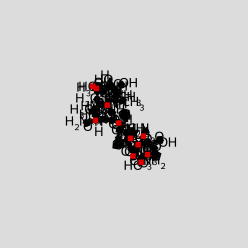 CC[C@H](C)[C@H](NC(=O)[C@H](CCCCN)NC(=O)[C@H](CCC(=O)O)NC(=O)[C@@H]1CCCN1C(=O)[C@@H](N)CCC(=O)O)C(=O)N[C@@H](CO)C(=O)N[C@H](C(=O)N[C@@H](Cc1ccccc1)C(=O)N[C@@H](Cc1ccccc1)C(=O)N[C@@H](CC(N)=O)C(=O)NCC(=O)N[C@@H](CCC(N)=O)C(=O)N[C@@H](C)C(=O)N[C@H](C(=O)N[C@@H](CS)C(=O)N[C@@H](CC(C)C)C(=O)N[C@@H](CC(=O)O)C(=O)N[C@@H](CO)C(=O)N[C@H](C(=O)NCC(=O)O)[C@@H](C)O)C(C)C)C(C)C